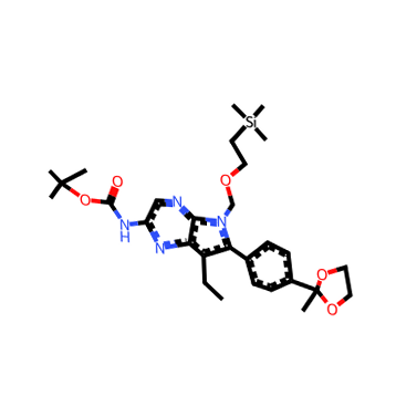 CCc1c(-c2ccc(C3(C)OCCO3)cc2)n(COCC[Si](C)(C)C)c2ncc(NC(=O)OC(C)(C)C)nc12